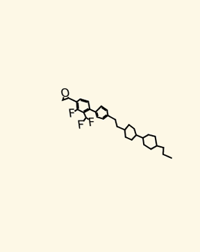 CCCC1CCC(C2CCC(CCc3ccc(-c4ccc(C5CO5)c(F)c4C(F)F)cc3)CC2)CC1